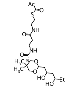 CCC(O)CC(O)CC1OCC(C)(C)[C@H](C(=O)NCCC(=O)NCCSC(=O)C(C)=O)O1